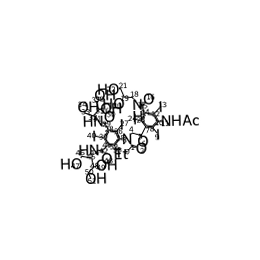 CCC(=O)N(CC(=O)c1c(I)c(NC(C)=O)c(I)c(C(=O)NCC(O)CO)c1I)c1c(I)c(C(=O)NC(CO)C(O)CO)c(I)c(C(=O)NC(CO)C(O)CO)c1I